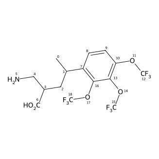 CC(CC(CN)C(=O)O)c1ccc(OC(F)(F)F)c(OC(F)(F)F)c1OC(F)(F)F